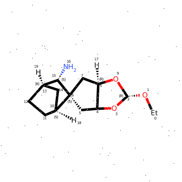 CCO[C@@H]1OC2C[C@]3(C[C@H]2O1)[C@H]1CC[C@H](C1)[C@@H]3N